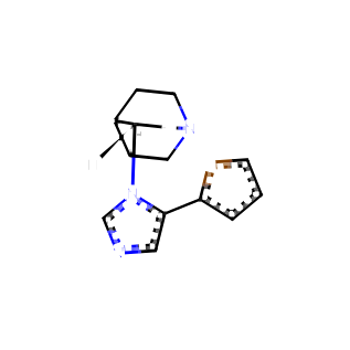 c1csc(-c2cncn2[C@H]2CN3CCC2CC3)c1